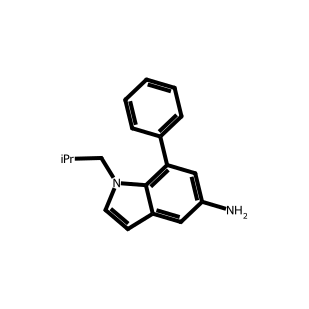 CC(C)Cn1ccc2cc(N)cc(-c3ccccc3)c21